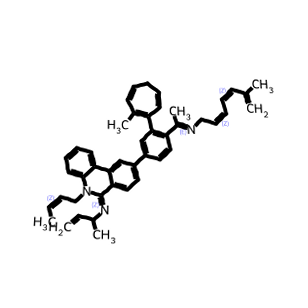 C=CC(C)/N=c1/c2ccc(-c3ccc(/C(C)=N/C/C=C\C=C/C(=C)C)c(C4=C(C)C=CCC=C4)c3)cc2c2ccccc2n1C/C=C\C